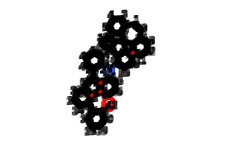 C1=Cc2ccccc2C2(c3ccccc31)c1ccccc1-c1c(N(c3ccc4c(c3)-c3ccccc3-c3ccccc3O4)c3ccccc3-c3ccccc3)cccc12